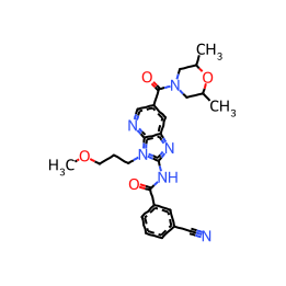 COCCCn1c(NC(=O)c2cccc(C#N)c2)nc2cc(C(=O)N3CC(C)OC(C)C3)cnc21